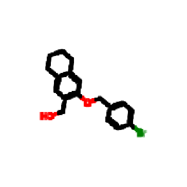 OCc1cc2c(cc1OCc1ccc(Br)cc1)CCCC2